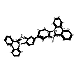 C1=C(c2ccc3c(c2)nc2c4ccccc4c4ccccc4n32)CCc2c1nc1c3ccccc3c3ccccc3n21